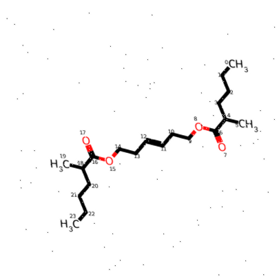 CCCCC(C)C(=O)OCC/C=C/CCOC(=O)C(C)CCCC